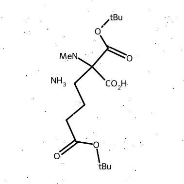 CNC(CCCC(=O)OC(C)(C)C)(C(=O)O)C(=O)OC(C)(C)C.N